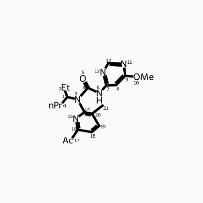 CCCC(CC)N(C(=O)Nc1cc(OC)ncn1)c1nc(C(C)=O)ccc1C